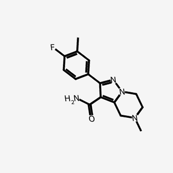 Cc1cc(-c2nn3c(c2C(N)=O)CN(C)CC3)ccc1F